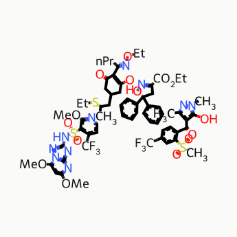 CCC/C(=N\OCC)C1=C(O)CC(CC(C)SCC)CC1=O.CCOC(=O)C1=NOC(c2ccccc2)(c2ccccc2)C1.COc1cc(OC)n2nc(NS(=O)(=O)c3c(C(F)(F)F)ccnc3OC)nc2n1.Cc1nn(C)c(O)c1C(=O)c1ccc(C(F)(F)F)cc1S(C)(=O)=O